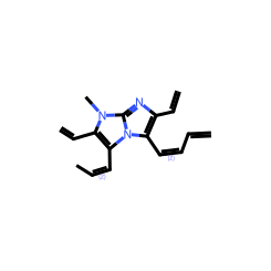 C=C/C=C\c1c(C=C)nc2n(C)c(C=C)c(/C=C\C)n12